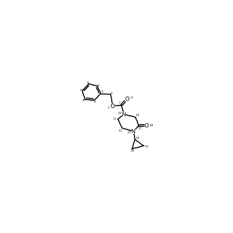 O=C(OCc1ccccc1)N1CCN(C2CC2)C(=O)C1